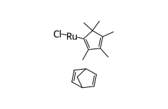 C1=CC2C=CC1C2.CC1=C(C)C(C)(C)[C]([Ru][Cl])=C1C